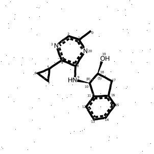 Cc1cnc(C2CC2)c(N[C@@H]2c3ccccc3C[C@@H]2O)n1